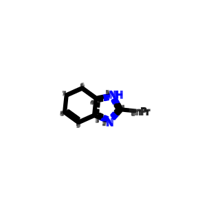 CCCc1nc2c([nH]1)CCC=C2